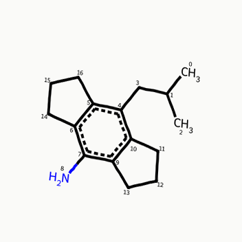 CC(C)Cc1c2c(c(N)c3c1CCC3)CCC2